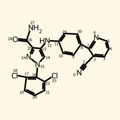 N#Cc1cccnc1-c1ccc(Nc2cn(-c3c(Cl)cccc3Cl)nc2C(N)=O)cc1